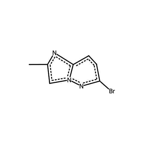 Cc1cn2nc(Br)ccc2n1